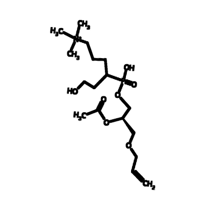 C=CCOC[C@H](COP(=O)(O)C(CCO)CCC[N+](C)(C)C)OC(C)=O